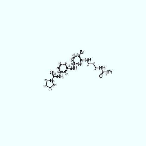 CC(C)C(=O)NCCCNc1nc(Nc2cccc(NC(=O)N3CCCC3)c2)ncc1Br